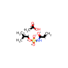 C=CC(=O)NS(=O)(=O)OCC(C)C.[CH2]C(=O)O